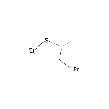 [CH2]CSC(C)CC(C)C